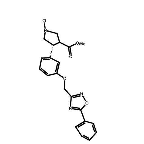 COC(=O)C1CN(Cl)C[C@H]1c1cccc(OCc2noc(-c3ccccc3)n2)c1